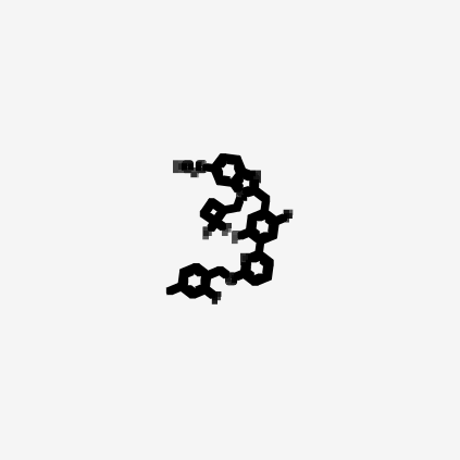 Cc1ccc(COc2cccc(-c3cc(F)c(Cc4nc5ccc(C(=O)O)cc5n4CC4CCC4(F)F)cc3F)n2)c(F)c1